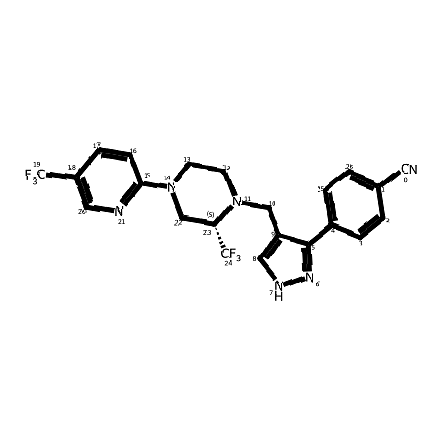 N#Cc1ccc(-c2n[nH]cc2CN2CCN(c3ccc(C(F)(F)F)cn3)C[C@H]2C(F)(F)F)cc1